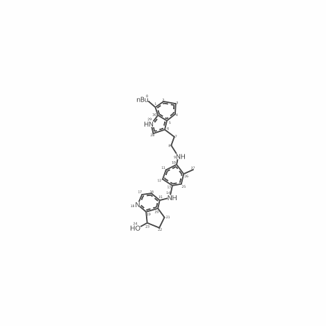 CCCCc1cccc2c(CCNc3ccc(Nc4ccnc5c4CCC5O)cc3C)c[nH]c12